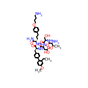 CCc1cc(OC)ccc1-c1ccc(C[C@H](NC(=O)C(CC(=O)O)NC(=O)C(CO)NC(=O)[C@@H](N)[C@@H](C)O)C(=O)N[C@@H](CCCc2ccc(OCCCCN)cc2)C(N)=O)cc1